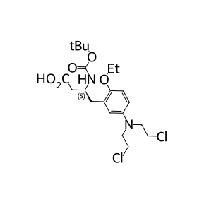 CCOc1ccc(N(CCCl)CCCl)cc1C[C@@H](CC(=O)O)NC(=O)OC(C)(C)C